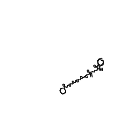 O=C(CCOCCOCCOCCOCCOCCC(=O)C1CCCCCCCC1)NCCCCC1NC2c3cccccccc(c3)C2C1=O